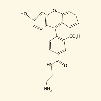 NCCNC(=O)c1ccc(C2=C3C=CCC=C3Oc3cc(O)ccc32)c(C(=O)O)c1